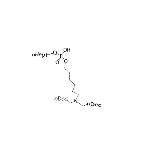 CCCCCCCCCCCN(CCCCCCCCCCC)CCCCCCOP(=O)(O)OCCCCCCC